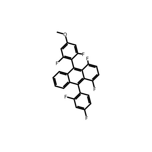 COc1cc(F)c(-c2c3ccccc3c(-c3ccc(F)cc3F)c3c(F)ccc(F)c23)c(F)c1